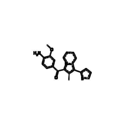 COc1cc(C(=O)c2c(C)c(-c3cccs3)c3ccccn23)ccc1N